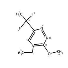 CCc1cc(C(C)(F)F)nnc1OC